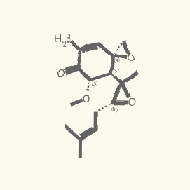 BC1=C[C@]2(CO2)[C@@H](C2(C)O[C@@H]2CC=C(C)C)[C@H](OC)C1=O